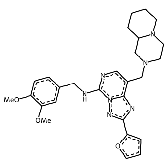 COc1ccc(CNc2ncc(CN3CCN4CCCCC4C3)c3nc(-c4ccco4)nn23)cc1OC